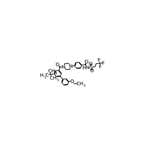 CCOc1cccc(-c2cc(C(=O)N3CCN(c4ccc(C(=O)NS(=O)(=O)CCC(F)(F)F)cc4)CC3)cc(C(C)(C)C)c2)c1